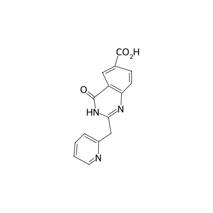 O=C(O)c1ccc2nc(Cc3ccccn3)[nH]c(=O)c2c1